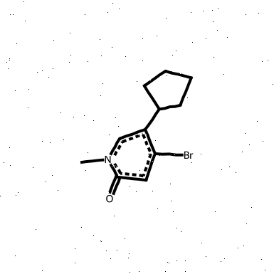 Cn1cc(C2CCCC2)c(Br)cc1=O